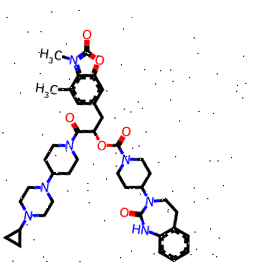 Cc1cc(CC(OC(=O)N2CCC(N3CCc4ccccc4NC3=O)CC2)C(=O)N2CCC(N3CCN(C4CC4)CC3)CC2)cc2oc(=O)n(C)c12